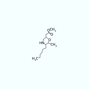 CCCCCCC1NCC(CC(=O)OC)OC1C